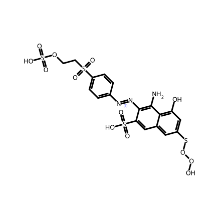 Nc1c(/N=N/c2ccc(S(=O)(=O)CCOS(=O)(=O)O)cc2)c(S(=O)(=O)O)cc2cc(SOOO)cc(O)c12